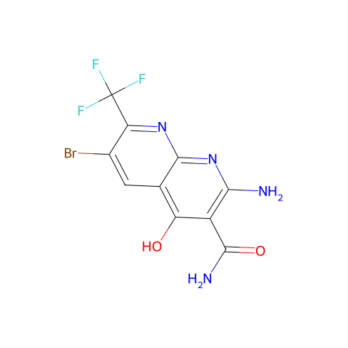 NC(=O)c1c(N)nc2nc(C(F)(F)F)c(Br)cc2c1O